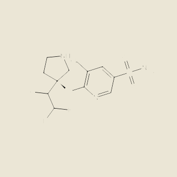 CC(C(F)F)[C@]1(Oc2ncc(S(N)(=O)=O)cc2Cl)CCNC1